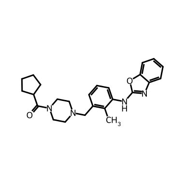 Cc1c(CN2CCN(C(=O)C3CCCC3)CC2)cccc1Nc1nc2ccccc2o1